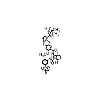 COc1cc(F)c(Cn2nccc2C(=O)OC(C)(C)C)cc1C(=O)N[C@@H]1[C@H]2CC[C@H](C2)[C@@H]1C(=O)Nc1cccc(S(=O)(=O)C(F)(F)F)c1